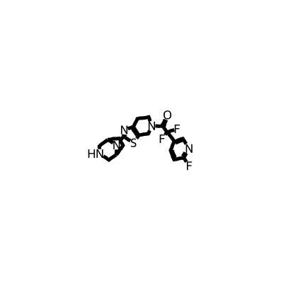 O=C(N1CCc2nc(N3C4CCC3CNC4)sc2C1)C(F)(F)c1ccc(F)nc1